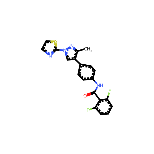 Cc1nn(-c2nccs2)cc1-c1ccc(NC(=O)c2c(F)cccc2F)cc1